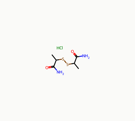 CC(SSC(C)C(N)=O)C(N)=O.Cl